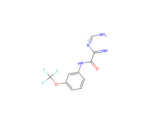 N=C(/N=C\N)C(=O)Nc1cccc(OC(F)(F)F)c1